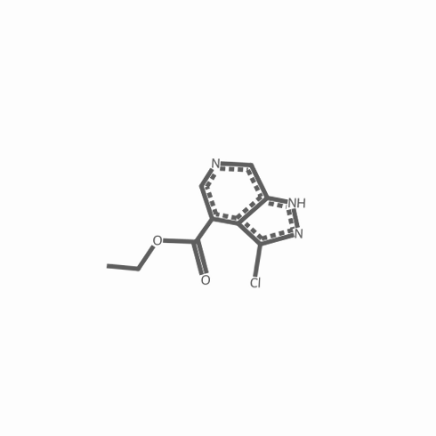 CCOC(=O)c1cncc2[nH]nc(Cl)c12